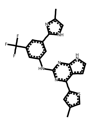 Cc1csc(-c2nc(Nc3cc(-c4nc(C)c[nH]4)cc(C(F)(F)F)c3)nc3[nH]ccc23)c1